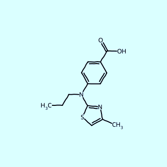 CCCN(c1ccc(C(=O)O)cc1)c1nc(C)cs1